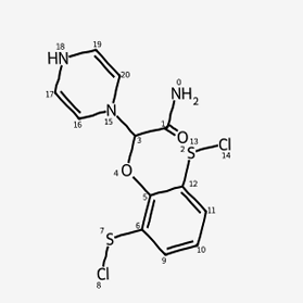 NC(=O)C(Oc1c(SCl)cccc1SCl)N1C=CNC=C1